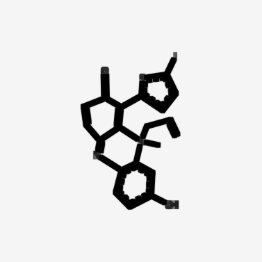 C=CC[Si]1(C)C2=C(c3ccc(I)s3)C(=O)C=CC2=Nc2ccc(O)cc21